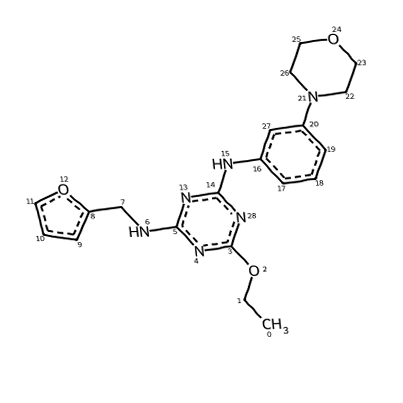 CCOc1nc(NCc2ccco2)nc(Nc2cccc(N3CCOCC3)c2)n1